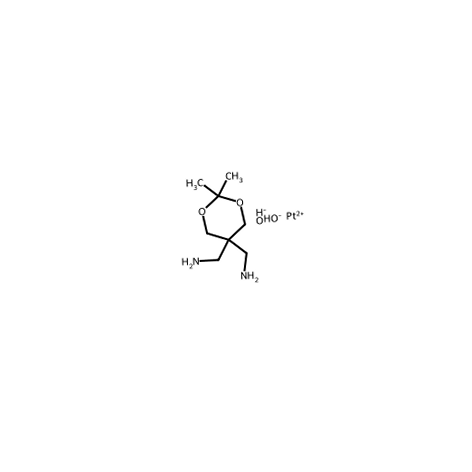 CC1(C)OCC(CN)(CN)CO1.[OH-].[OH-].[Pt+2]